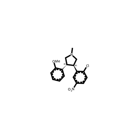 COc1ccccc1[C@@H]1CN(C)C[C@H]1c1cc([N+](=O)[O-])ccc1Cl